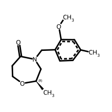 COc1cc(C)ccc1CN1C[C@@H](C)OCCC1=O